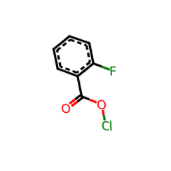 O=C(OCl)c1ccccc1F